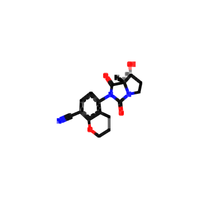 N#Cc1ccc(N2C(=O)[C@@H]3[C@H](O)CCN3C2=O)c2c1OCCC2